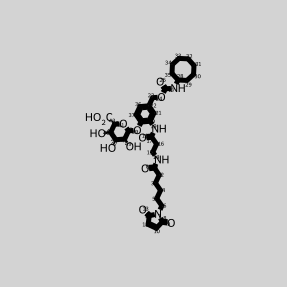 O=C(CCCCCN1C(=O)C=CC1=O)NCCC(=O)Nc1cc(COC(=O)NC2CCCCCCC2)ccc1OC1O[C@@H](C(=O)O)[C@H](O)[C@@H](O)[C@@H]1O